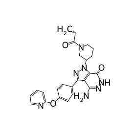 C=CC(=O)N1CCCC(n2nc(-c3ccc(Oc4ccccn4)cc3)c3c(N)n[nH]c(=O)c32)C1